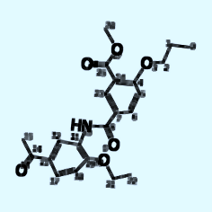 CCCOc1ccc(C(=O)Nc2cc(C(C)=O)ccc2OCC)cc1C(=O)OC